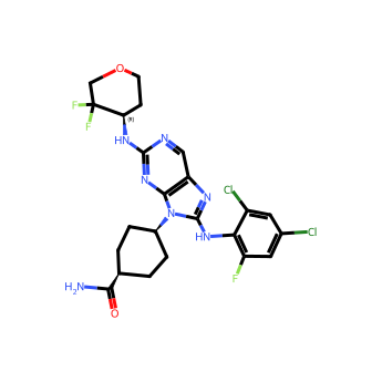 NC(=O)[C@H]1CC[C@@H](n2c(Nc3c(F)cc(Cl)cc3Cl)nc3cnc(N[C@@H]4CCOCC4(F)F)nc32)CC1